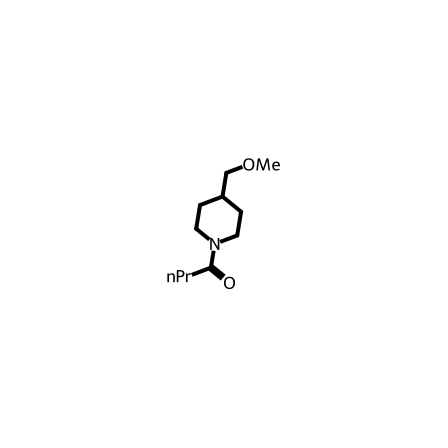 CCCC(=O)N1CCC(COC)CC1